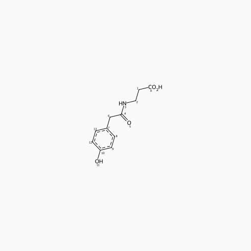 O=C(O)CCNC(=O)Cc1ccc(O)cc1